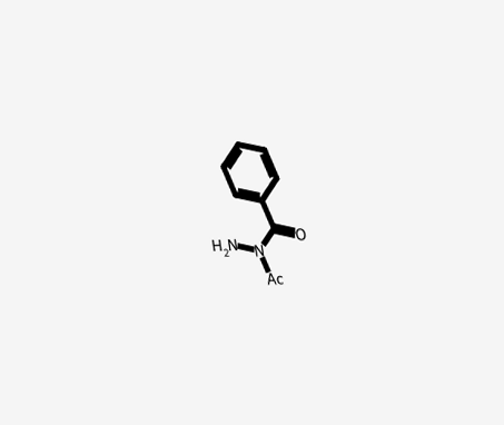 CC(=O)N(N)C(=O)c1ccccc1